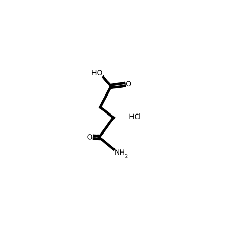 Cl.NC(=O)CCC(=O)O